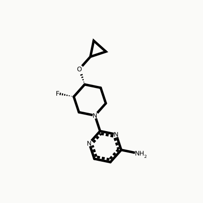 Nc1ccnc(N2CC[C@@H](OC3CC3)[C@@H](F)C2)n1